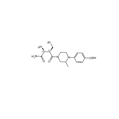 CCC[C@H](C(N)=O)[C@@H](CC(C)C)C(=O)N1CCN(c2ccc(OC)cc2)C(C)C1